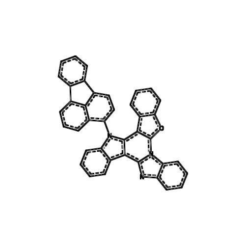 c1ccc2c(c1)-c1cccc3c(-n4c5ccccc5c5c4c4c6ccccc6oc4n4c6ccccc6nc54)ccc-2c13